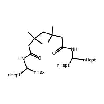 CCCCCCCC(CCCCCC)NC(=O)CC(C)(C)CC(C)(C)CC(=O)NC(CCCCCCC)CCCCCCC